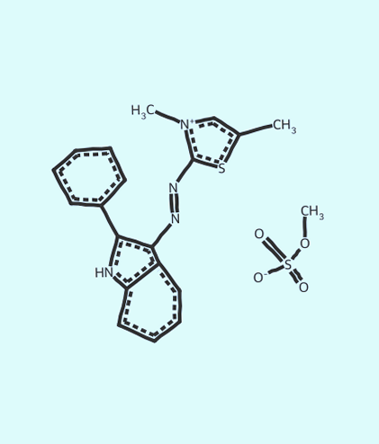 COS(=O)(=O)[O-].Cc1c[n+](C)c(N=Nc2c(-c3ccccc3)[nH]c3ccccc23)s1